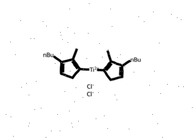 CCCCC1=CC[C]([Ti+2][C]2=C(C)C(CCCC)=CC2)=C1C.[Cl-].[Cl-]